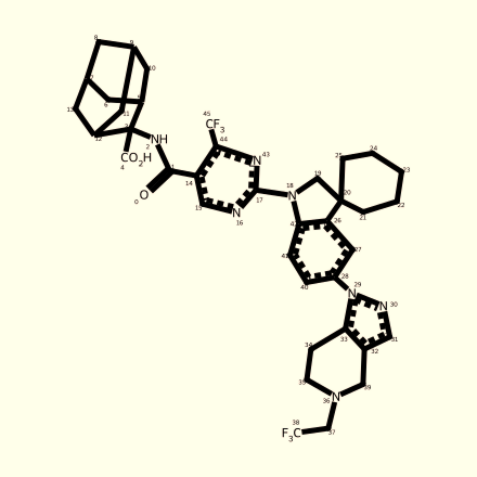 O=C(NC1(C(=O)O)C2CC3CC(C2)CC1C3)c1cnc(N2CC3(CCCCC3)c3cc(-n4ncc5c4CCN(CC(F)(F)F)C5)ccc32)nc1C(F)(F)F